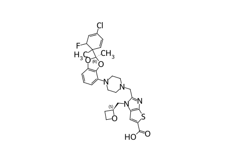 CC1([C@]2(C)Oc3cccc(N4CCN(Cc5nc6sc(C(=O)O)cc6n5C[C@@H]5CCO5)CC4)c3O2)C=CC(Cl)=CC1F